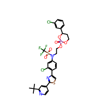 CC(C)(C)c1cc(-c2nc(-c3ccc(N(CCOP4(=O)OCCC(c5cccc(Cl)c5)O4)S(=O)(=O)C(F)(F)F)cc3Cl)cs2)ccn1